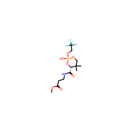 COC(=O)CCNC(=O)[C@@H]1O[PH](O)(OCC(F)(F)F)OCC1(C)C